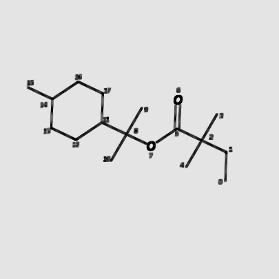 CCC(C)(C)C(=O)OC(C)(C)C1CCC(C)CC1